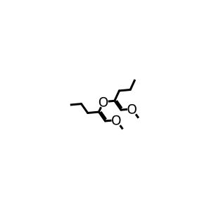 CCCC(=COC)OC(=COC)CCC